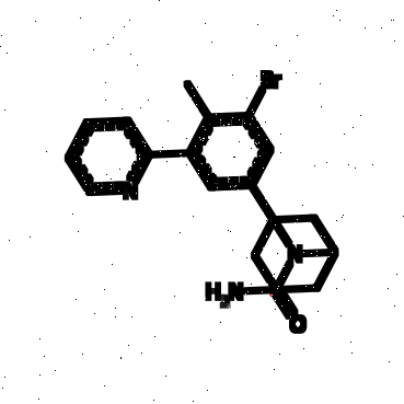 Cc1c(Br)cc(C23CCCC(C2)N3C(N)=O)cc1-c1ccccn1